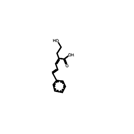 O=C(O)C(=CC=Cc1ccccc1)CCO